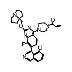 C=CC(=O)N1CCN(c2nc(OCC34CCCN3CCC4)nc3c(F)c(-c4cncc5cccc(Cl)c45)ccc23)CC1